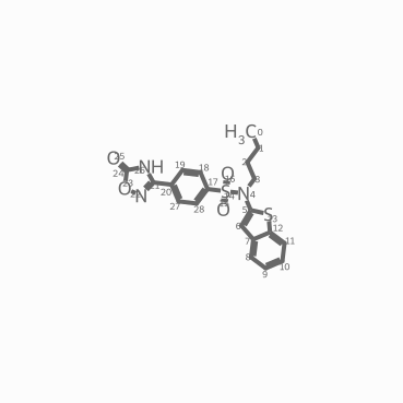 CCCCN(c1cc2ccccc2s1)S(=O)(=O)c1ccc(-c2noc(=O)[nH]2)cc1